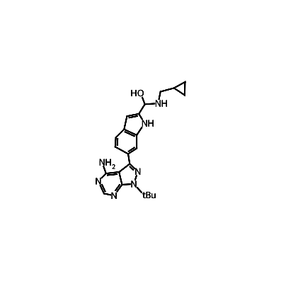 CC(C)(C)n1nc(-c2ccc3cc(C(O)NCC4CC4)[nH]c3c2)c2c(N)ncnc21